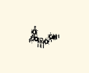 O=C(Nc1ccc(Oc2ccnc3[nH]ncc23)cc1)Nc1ccc(Oc2ccc(F)cc2)c(C(F)(F)F)c1